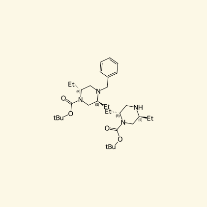 CC[C@H]1CN(C(=O)OC(C)(C)C)[C@H](CC)CN1.CC[C@H]1CN(C(=O)OC(C)(C)C)[C@H](CC)CN1Cc1ccccc1